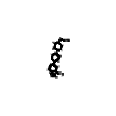 CCCCC[C@H]1CC[C@H](c2ccc(-c3ccc(N)c(C(F)(F)F)c3)cc2)CC1